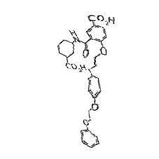 O=C(O)c1ccc(OCCCc2ccc(OCCOc3ccccc3)cc2)c(C(=O)NC2CCCC(C(=O)O)C2)c1